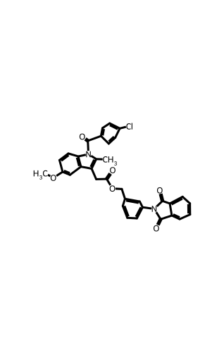 COc1ccc2c(c1)c(CC(=O)OCc1cccc(N3C(=O)c4ccccc4C3=O)c1)c(C)n2C(=O)c1ccc(Cl)cc1